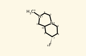 CN1CCN2CC[C@H](F)CC2C1